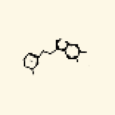 CCC1CC2C=CC1N(CCc1coc3cc(F)c(OC)cc13)C2